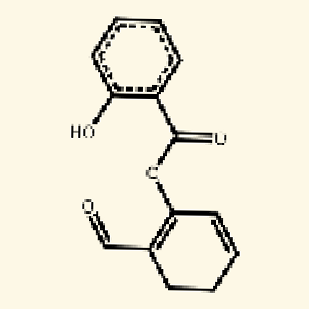 O=CC1=C(OC(=O)c2ccccc2O)C=CCC1